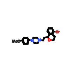 COc1ccc(N2CCN(CCC3OCCc4c(Br)cccc43)CC2)cc1